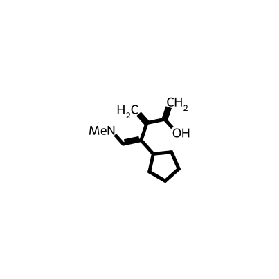 C=C(O)C(=C)/C(=C\NC)C1CCCC1